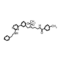 Cc1ccc(C(=O)NCCCN(Cc2cccc(-c3ccnc(NCCc4ccccc4)n3)c2)S(C)(=O)=O)cc1